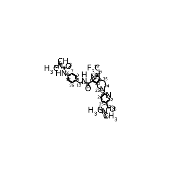 CN(C)C(=O)Nc1ccc(CNC(=O)c2nn(CC(F)(F)F)c3c2CN(c2ccc(C(=O)N(C)C)cn2)CC3)cc1